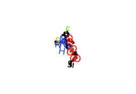 CCOC(=O)C1=C(C2CCN(S(=O)(=O)C3CC(C)(C(=O)OCC[Si](C)(C)C)C3)CC2)NC(c2nccs2)=NC1c1ccc(F)cc1C